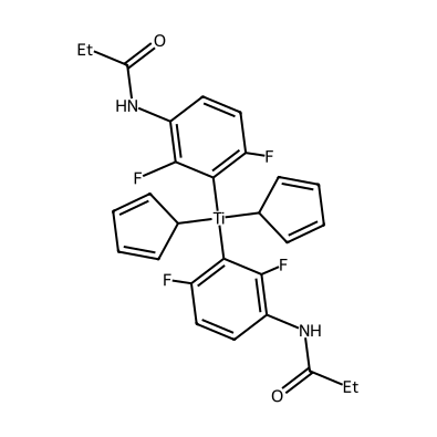 CCC(=O)Nc1ccc(F)[c]([Ti]([c]2c(F)ccc(NC(=O)CC)c2F)([CH]2C=CC=C2)[CH]2C=CC=C2)c1F